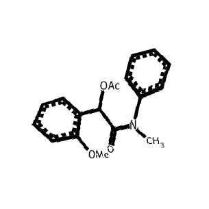 COc1ccccc1C(OC(C)=O)C(=O)N(C)c1ccccc1